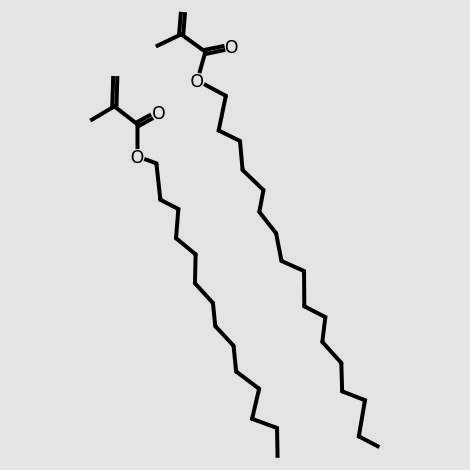 C=C(C)C(=O)OCCCCCCCCCCCCCC.C=C(C)C(=O)OCCCCCCCCCCCCCCCCC